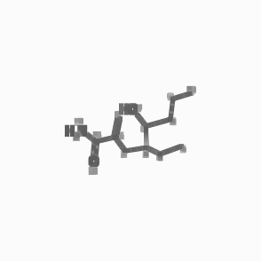 C=C(CC(CC)C(O)CCC)C(N)=O